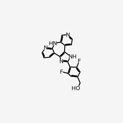 OCc1cc(F)c(-c2nc3c([nH]2)-c2ccncc2Nc2ncccc2-3)c(F)c1